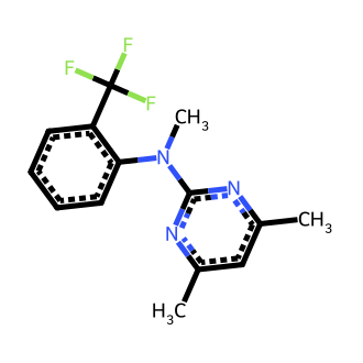 Cc1cc(C)nc(N(C)c2ccccc2C(F)(F)F)n1